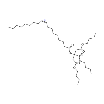 CCCCCCCC/C=C\CCCCCCCC(=O)OC(CC(=O)OCCCC)(CC(=O)OCCCC)C(=O)OCCCC